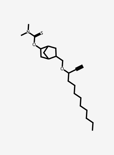 C#CC(CCCCCCCCC)OCC1CC2CC1CC2OC(=S)N(C)C